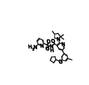 Cc1cc(OC2CCCC2)cc(-c2cnc(N3CC(C)CC3(C)C)c(C(=O)NS(=O)(=O)c3cccc(N)n3)c2)c1